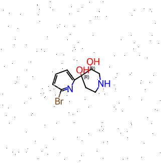 O[C@@H]1CNCC[C@@]1(O)c1cccc(Br)n1